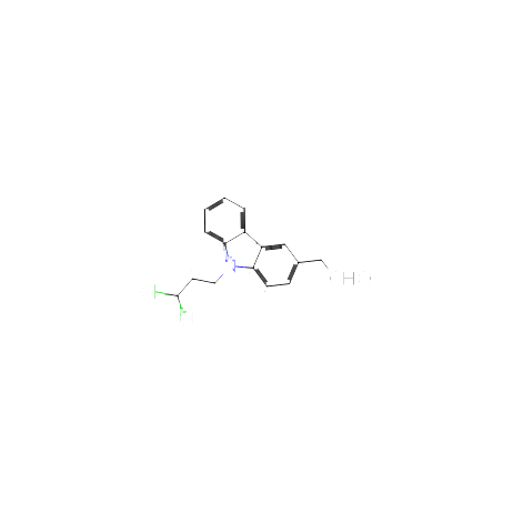 O=CCc1ccc2c(c1)c1ccccc1n2CCC(Cl)Cl